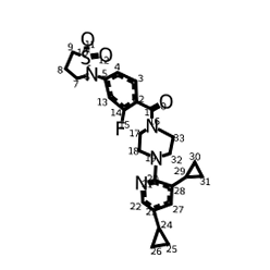 O=C(c1ccc(N2CCCS2(=O)=O)cc1F)N1CCN(c2ncc(C3CC3)cc2C2CC2)CC1